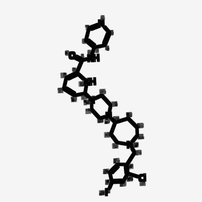 O=C(Nc1ccncc1)C1=CC=CC(N2CCN(C3CCCN(Cc4ccc(F)cc4Cl)CC3)CC2)N1